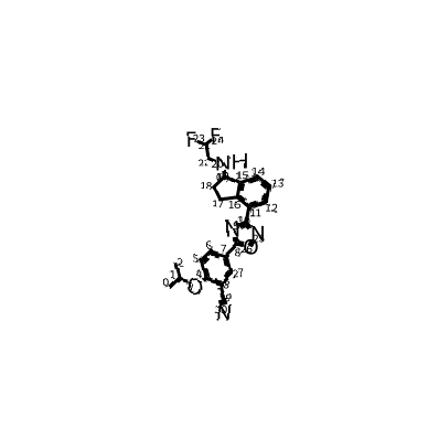 CC(C)Oc1ccc(-c2nc(-c3cccc4c3CC[C@H]4NCC(F)F)no2)cc1C#N